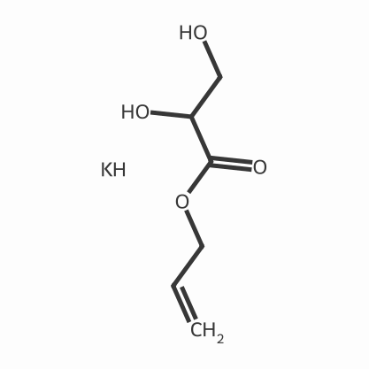 C=CCOC(=O)C(O)CO.[KH]